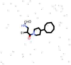 CCC(CNC=O)C(=O)N1CCC(C2CCCCCCC2)CC1